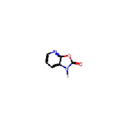 O=c1oc2ncccc2n1I